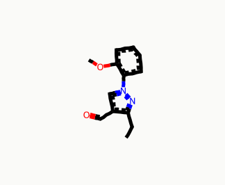 CCc1nn(-c2ccccc2OC)cc1C=O